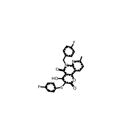 Cc1ccc2c3oc(=O)c(Sc4ccc(F)cc4)c(O)c3c(=O)n(Cc3ccc(F)cc3)c2n1